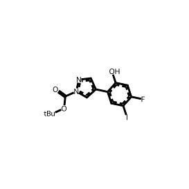 CC(C)(C)OC(=O)n1cc(-c2cc(I)c(F)cc2O)cn1